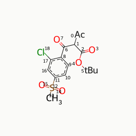 CC(=O)C(C(=O)OC(C)(C)C)C(=O)c1ccc(S(C)(=O)=O)cc1Cl